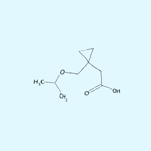 CC(C)OCC1(CC(=O)O)CC1